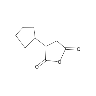 O=C1CC(C2CCCC2)C(=O)O1